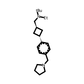 CCN(C[C@H]1C[C@H](c2ccc(CN3CCCC3)cc2)C1)C(C)(C)C